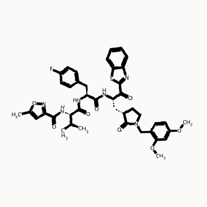 COc1ccc(CN2CC[C@@H](C[C@H](NC(=O)[C@H](Cc3ccc(F)cc3)NC(=O)[C@@H](NC(=O)c3cc(C)on3)C(C)C)C(=O)c3nc4ccccc4s3)C2=O)c(OC)c1